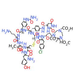 C[C@@H](O)[C@@H]1NC(=O)[C@H](CCCCN)NC(=O)[C@@H](Cc2ccc(NC(N)=O)cc2)NC(=O)[C@H](Cc2ccc(NC(=O)[C@@H]3CC(=O)NC(=O)N3)cc2)NC(=O)[C@H](NC(=O)[C@H](Cc2ccc(Cl)cc2)NC(=O)CCC(C(=O)O)N2CCN(CC(=O)O)CCN(CC(=O)O)CC2)CSSC[C@@H](C(=O)N[C@H](Cc2ccc(O)cc2)C(N)=O)NC1=O